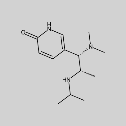 CC(C)N[C@@H](C)[C@H](c1ccc(=O)[nH]c1)N(C)C